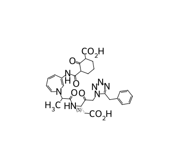 CC(C(=O)N[C@@H](CC(=O)O)C(=O)Cn1nnnc1Cc1ccccc1)N1C=CC=CC(NC(=O)C2CCCC(C(=O)O)C2=O)=C1